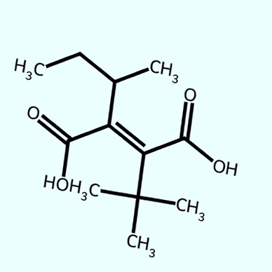 CCC(C)C(C(=O)O)=C(C(=O)O)C(C)(C)C